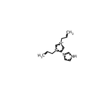 C=CCn1cc[n+](CC=C)c1.c1c[nH]cn1